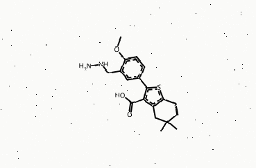 COc1ccc(-c2sc3c(c2C(=O)O)CC(C)(C)CC3)cc1CNN